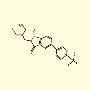 NC/C(=C\F)Cn1c(=O)[n+]2cc(-c3ccc(C(F)(F)F)nc3)ccc2n1Cl